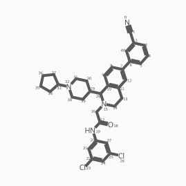 N#Cc1cccc(-c2ccc3c(c2)CCN(CC(=O)Nc2cc(Cl)cc(Cl)c2)C3C2CCN(C3CCCC3)CC2)c1